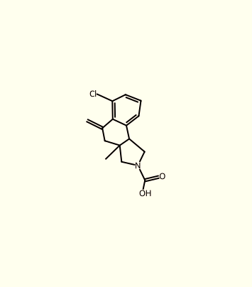 C=C1CC2(C)CN(C(=O)O)CC2c2cccc(Cl)c21